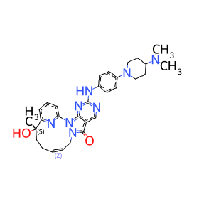 CN(C)C1CCN(c2ccc(Nc3ncc4c(=O)n5n(c4n3)-c3cccc(n3)[C@@](C)(O)CC/C=C\C5)cc2)CC1